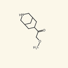 COCC(=O)C1CC2CNCC(C2)C1